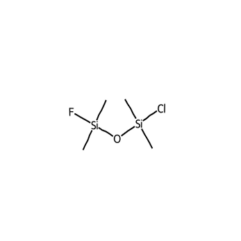 C[Si](C)(F)O[Si](C)(C)Cl